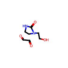 O=C1NCCN1CCO.O=CC=O